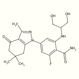 Cc1nn(-c2cc(F)c(C(N)=O)c(NC(CO)CO)c2)c2c1C(=O)CC(C)(C)C2